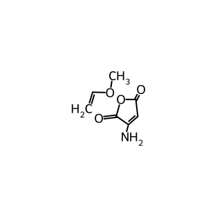 C=COC.NC1=CC(=O)OC1=O